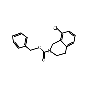 O=C(OCc1ccccc1)N1CCc2cccc(Cl)c2C1